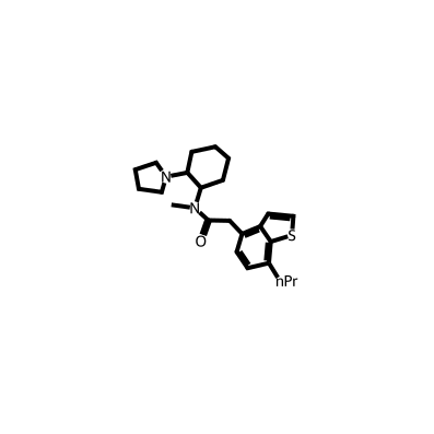 CCCc1ccc(CC(=O)N(C)C2CCCCC2N2CCCC2)c2ccsc12